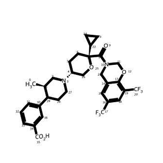 C[C@H]1CN([C@@H]2CC[C@@](C(=O)N3COc4c(cc(C(F)(F)F)cc4C(F)(F)F)C3)(C3CC3)OC2)CCC1c1cccc(C(=O)O)c1